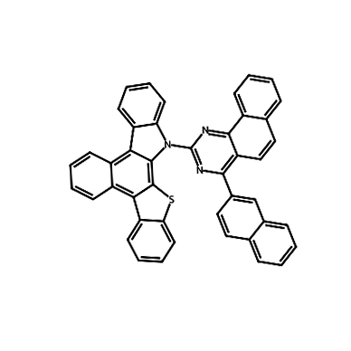 c1ccc2cc(-c3nc(-n4c5ccccc5c5c6ccccc6c6c7ccccc7sc6c54)nc4c3ccc3ccccc34)ccc2c1